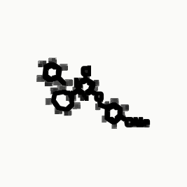 COc1ccc(COc2cc(Cl)nc(N3CCCCC[C@@H]3Cc3ccccc3)n2)cc1